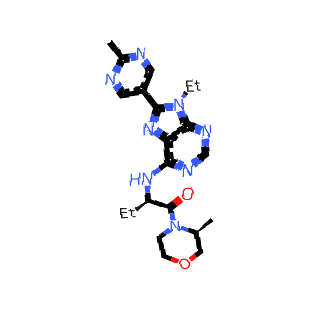 CC[C@@H](Nc1ncnc2c1nc(-c1cnc(C)nc1)n2CC)C(=O)N1CCOC[C@@H]1C